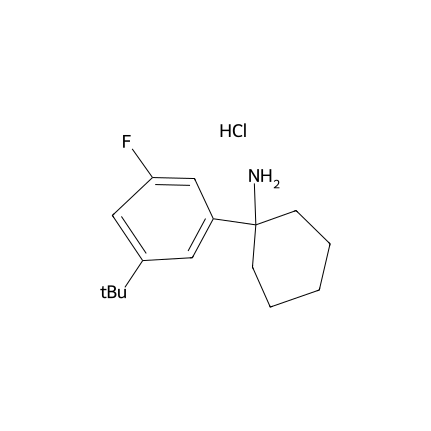 CC(C)(C)c1cc(F)cc(C2(N)CCCCC2)c1.Cl